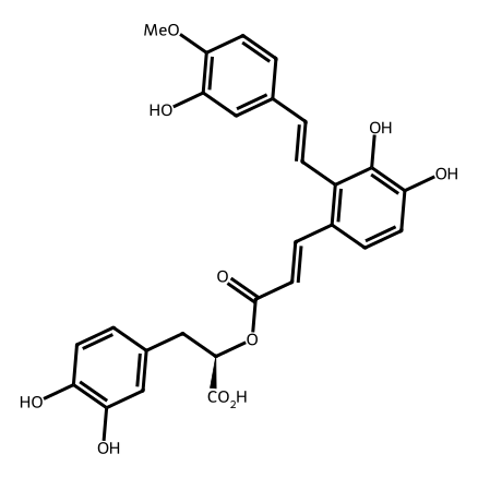 COc1ccc(/C=C/c2c(/C=C/C(=O)O[C@H](Cc3ccc(O)c(O)c3)C(=O)O)ccc(O)c2O)cc1O